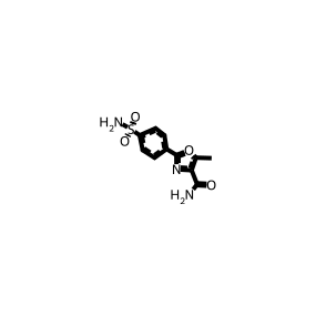 Cc1oc(-c2ccc(S(N)(=O)=O)cc2)nc1C(N)=O